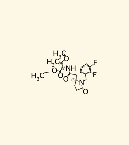 CCCOC(=O)[C@@H](NC(=O)C[C@@H]1CCC(=O)N1Cc1cccc(F)c1F)[C@@H](C)OC